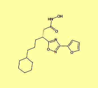 O=C(C[C@@H](CCCC1CCCCC1)c1nc(-c2ccco2)no1)NO